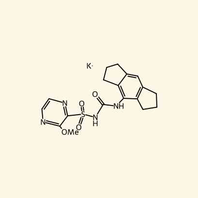 COc1nccnc1S(=O)(=O)NC(=O)Nc1c2c(cc3c1CCC3)CCC2.[K]